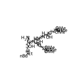 CCCCC(CC)COCC(O)CN(CCN)CCN(CCNCCNCC(O)COCCC[Si](OC)(OC)OC)CC(O)COCCC[Si](OC)(OC)OC